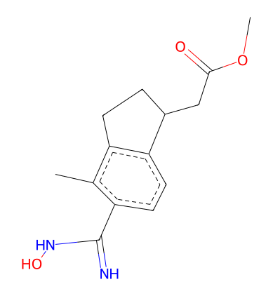 COC(=O)CC1CCc2c1ccc(C(=N)NO)c2C